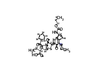 C=CCOC(=O)Nc1nc(/C(=N/OC)C(=O)N[C@H]2CN3CC(C(C=C)C(=O)O)=C(C(=O)c4ccccc4)N3C2=O)cs1